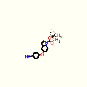 CC(C)(C)OC(=O)n1ccc2cc(Oc3ccc(C#N)cc3)ccc21